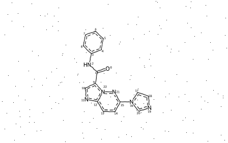 O=C(Nc1ccccc1)c1cnc2ccc(-n3ccnc3)nn12